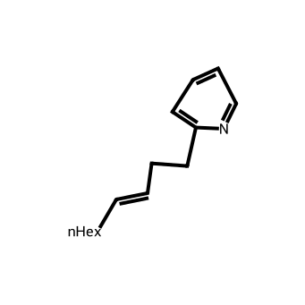 CCCCCC/C=C/CCc1ccccn1